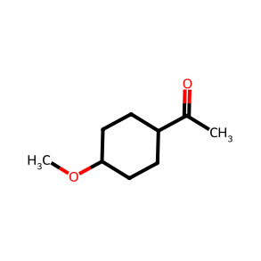 COC1CCC(C(C)=O)CC1